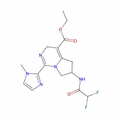 CCOC(=O)C1=C2CC(NC(=O)C(F)F)CN2C(c2nccn2C)=NC1